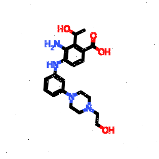 CC(O)c1c(C(=O)O)ccc(Nc2cccc(N3CCN(CCO)CC3)c2)c1N